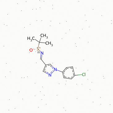 CC(C)(C)[S@@+]([O-])N=Cc1cnn(-c2ccc(Cl)cc2)c1